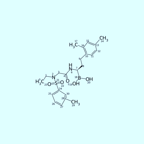 CCN(CC(=O)N[C@@H](CCc1ccc(C)cc1C)B(O)O)S(=O)(=O)c1cccc(C)c1